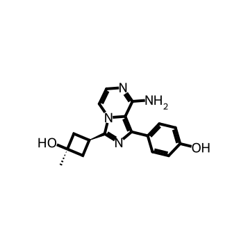 C[C@]1(O)C[C@@H](c2nc(-c3ccc(O)cc3)c3c(N)nccn32)C1